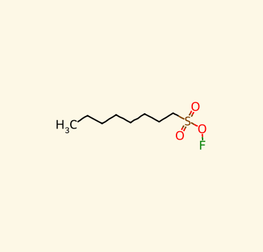 CCCCCCCCS(=O)(=O)OF